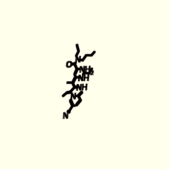 C=C1C=CC(C#N)=CN1/C(=C\C)C(=N)/C(C)=C(/C=C(\N)C(=O)N(CCC)CCCC)NCCC